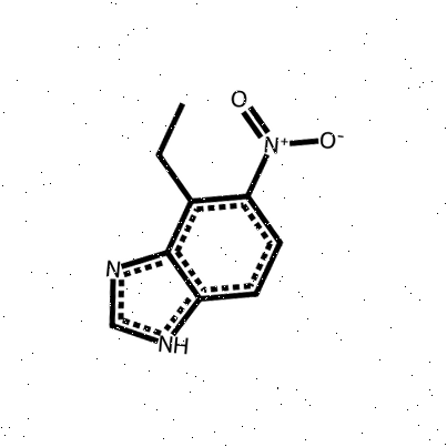 CCc1c([N+](=O)[O-])ccc2[nH]cnc12